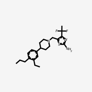 CCCc1ccc(C2CCN(Cc3sc(N)nc3C(C)(F)F)CC2)cc1CC